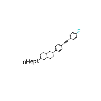 CCCCCCCC1CCC2CC(c3ccc(C#Cc4ccc(F)cc4)cc3)CCC2C1